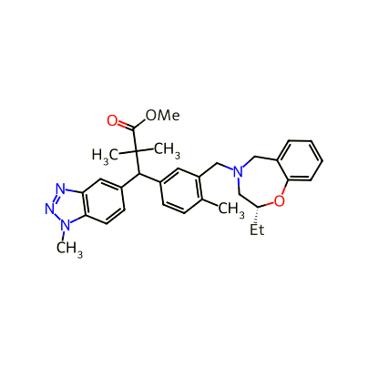 CC[C@@H]1CN(Cc2cc(C(c3ccc4c(c3)nnn4C)C(C)(C)C(=O)OC)ccc2C)Cc2ccccc2O1